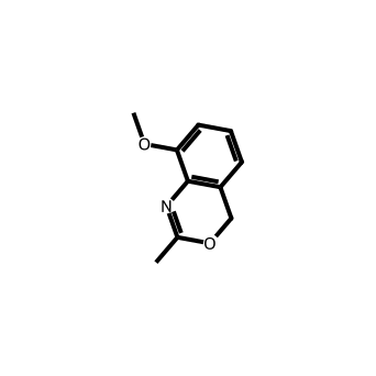 COc1cccc2c1N=C(C)OC2